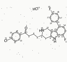 Cl.O=C(CCCC1Cc2[nH]c3c(F)ccc(-c4ccc(F)cc4)c3c2CN1)c1ccc(Cl)cc1